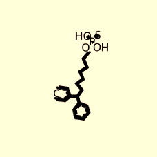 OP(O)(=S)OCCCCCCCC(c1ccccc1)c1ccccc1